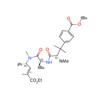 CCOC(=O)/C(C)=C/[C@H](C(C)C)N(C)C(=O)[C@@H](NC(=O)[C@@H](NC)C(C)(C)c1ccc(C(=O)OC(C)(C)C)cc1)C(C)(C)C